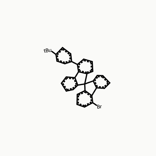 CC(C)(C)c1ccc(-c2cccc3c2-c2ccccc2C32c3ccccc3-c3c(Br)cccc32)cc1